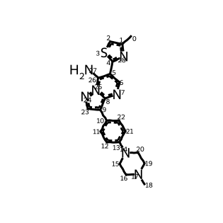 Cc1csc(-c2cnc3c(-c4ccc(N5CCN(C)CC5)cc4)cnn3c2N)n1